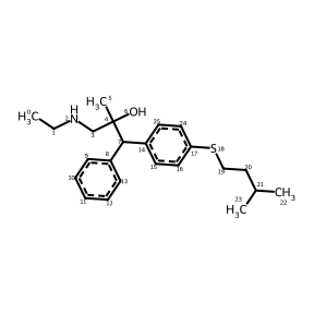 CCNCC(C)(O)C(c1ccccc1)c1ccc(SCCC(C)C)cc1